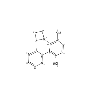 Cl.Oc1cccc(-c2cnccn2)c1N1CCC1